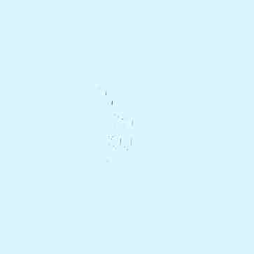 CCOC(=O)C1=C(C)Nc2c(c(N3CCN(C/C=C/c4ccccc4)CC3)nc(=O)n2CCN(C)C)C1c1ccccc1